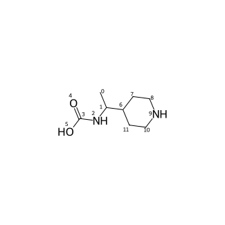 CC(NC(=O)O)C1CCNCC1